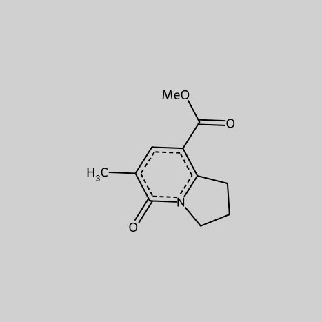 COC(=O)c1cc(C)c(=O)n2c1CCC2